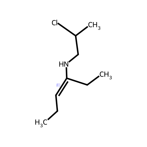 CC/C=C(\CC)NCC(C)Cl